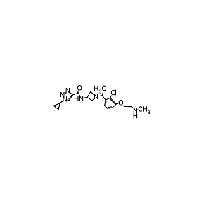 CNCCOc1cccc(C(C)N2CC(NC(=O)c3cn(C4CC4)nn3)C2)c1Cl